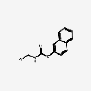 CC(C)CNC(=O)Sc1ccc2ccccc2c1